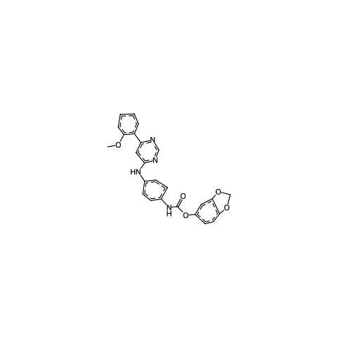 COc1ccccc1-c1cc(Nc2ccc(NC(=O)Oc3ccc4c(c3)OCO4)cc2)ncn1